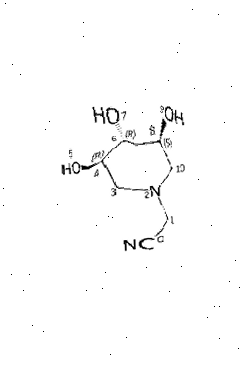 N#CCN1C[C@@H](O)[C@H](O)[C@@H](O)C1